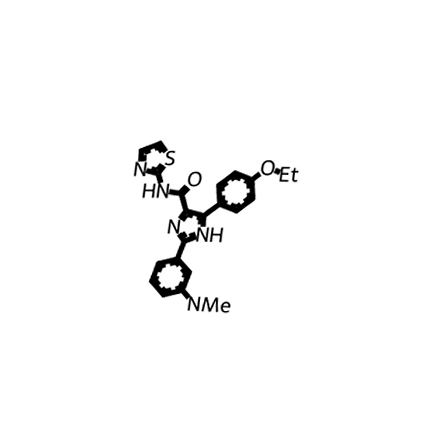 CCOc1ccc(-c2[nH]c(-c3cccc(NC)c3)nc2C(=O)Nc2nccs2)cc1